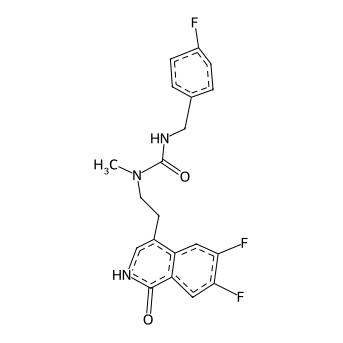 CN(CCc1c[nH]c(=O)c2cc(F)c(F)cc12)C(=O)NCc1ccc(F)cc1